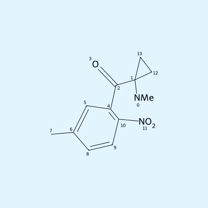 CNC1(C(=O)c2cc(C)ccc2[N+](=O)[O-])CC1